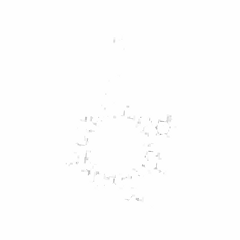 CC(C)CCCCCCCCCCC1CC(=O)N[C@@H](CC(=O)O)C(=O)N[C@@H](Cc2ccc(O)cc2)C(=O)N[C@@H](CC(N)=O)C(=O)N[C@@H](CCC(N)=O)C(=O)N2CCC[C@H]2C(=O)N[C@@H](CC(N)=O)C(=O)N[C@@H](CO)C(=O)N1